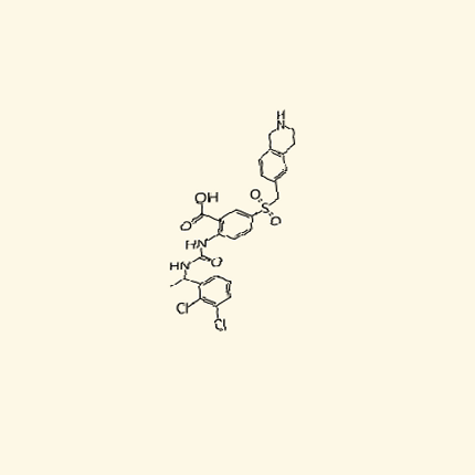 CC(NC(=O)Nc1ccc(S(=O)(=O)Cc2ccc3c(c2)CCNC3)cc1C(=O)O)c1cccc(Cl)c1Cl